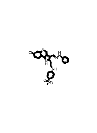 CS(=O)(=O)c1ccc(NCCc2[nH]c3c(cnc4cc(Cl)ccc43)c2C=NNc2ccccc2)cc1